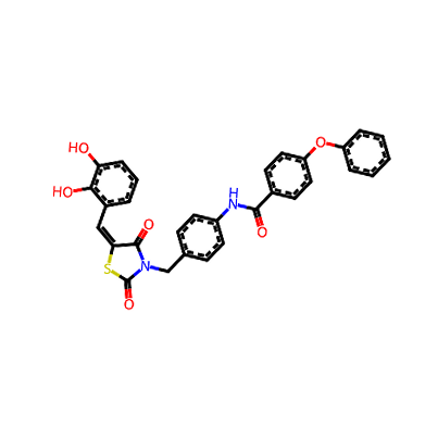 O=C(Nc1ccc(CN2C(=O)SC(=Cc3cccc(O)c3O)C2=O)cc1)c1ccc(Oc2ccccc2)cc1